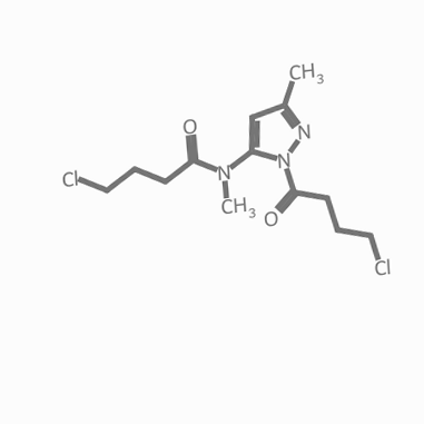 Cc1cc(N(C)C(=O)CCCCl)n(C(=O)CCCCl)n1